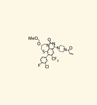 C=CC(=O)N1CCN(c2nc(=O)n3c4c(c(-c5ccc(F)c(Cl)c5)c(C(F)(F)F)cc24)SC[C@H](OCOC)C3)CC1